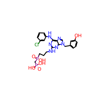 O=P(O)(O)CP(=O)(O)CCCNc1nc(Nc2cccc(Cl)c2)c2ncn(Cc3cccc(O)c3)c2n1